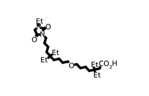 CCN1CC(=O)N(CCCCC(CC)(CC)CCCCOCCCCC(CC)(CC)CC(=O)O)C1=O